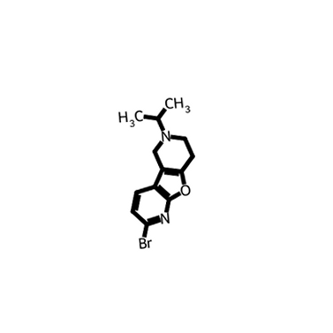 CC(C)N1CCc2oc3nc(Br)ccc3c2C1